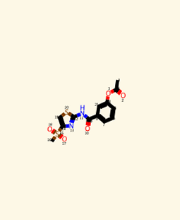 CC(=O)Oc1cccc(C(=O)Nc2nc(S(C)(=O)=O)cs2)c1